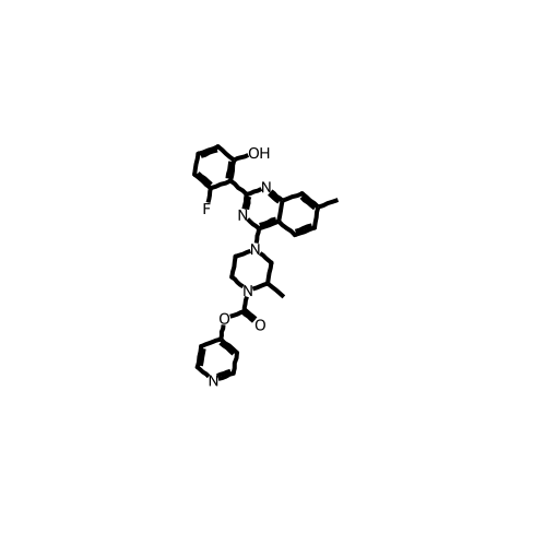 Cc1ccc2c(N3CCN(C(=O)Oc4ccncc4)C(C)C3)nc(-c3c(O)cccc3F)nc2c1